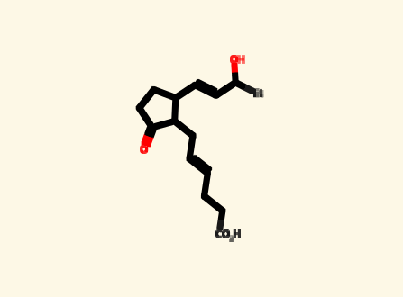 CCC(O)C=CC1CCC(=O)C1CC=CCCC(=O)O